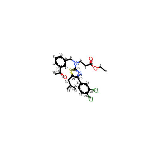 CCOC(=O)CCN(Cc1cccc(C(C)=O)c1)c1nc(-c2ccc(Cl)c(Cl)c2)c(CC(C)C)s1